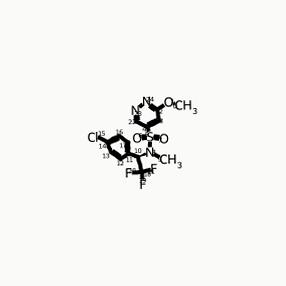 COc1cc(S(=O)(=O)N(C)[C@H](c2ccc(Cl)cc2)C(F)(F)F)cnn1